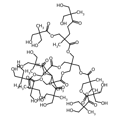 CC(CO)(CO)C(=O)CCC(C)(COC(=O)C(C)(CO)CO)C(=O)OCC(COC(=O)C(C)(COC(=O)C(C)(CO)CO)COC(=O)C(C)(CO)CO)(COC(=O)C(C)(COC(=O)C(C)(CO)CO)COC(=O)C(C)(CO)CO)COC(=O)C(C)(COC(=O)C(C)(CO)CO)COC(=O)C(C)(CO)CO